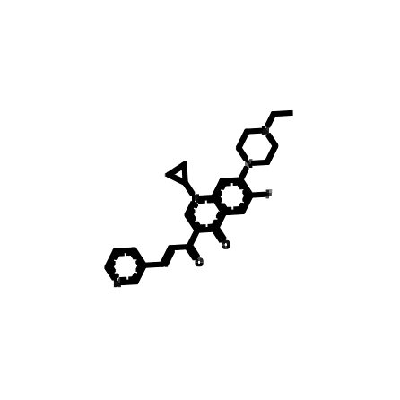 CCN1CCN(c2cc3c(cc2F)c(=O)c(C(=O)C=Cc2cccnc2)cn3C2CC2)CC1